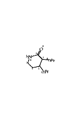 CCCC1CCNC(=O)C1CCC